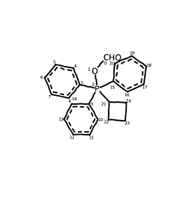 O=COP(c1ccccc1)(c1ccccc1)(c1ccccc1)C1CCC1